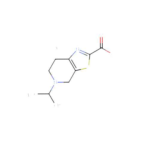 CC(C)N1CCc2nc(C(=O)[O-])sc2C1.[Li+]